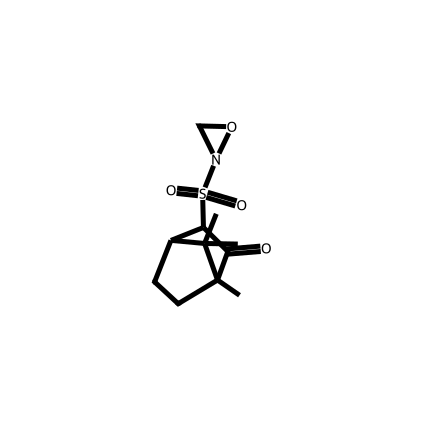 CC12CCC(C(S(=O)(=O)N3CO3)C1=O)C2(C)C